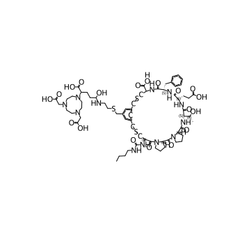 CCCCNC(=O)N[C@H]1CSCc2cc(CSCCNC(O)CCC(C(=O)O)N3CCN(CC(=O)O)CCN(CC(=O)O)CC3)cc(c2)CSCC(C(=O)O)NC(=O)[C@H](Cc2ccccc2)NC(=O)[C@H](CCC(=O)O)NC(=O)[C@H]([C@@H](C)O)NC(=O)[C@@H]2CCCN2C(=O)[C@@H]2CCCN2C1=O